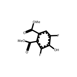 COC(=O)c1cc(F)c(O)c(F)c1C(=O)OC